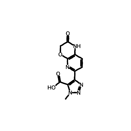 Cn1nnc(-c2ccc3c(n2)OCC(=O)N3)c1C(=O)O